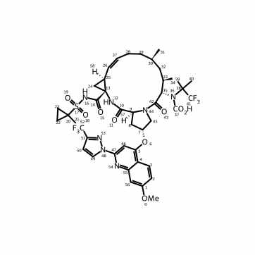 COc1ccc2c(O[C@@H]3C[C@H]4C(=O)N[C@]5(C(=O)NS(=O)(=O)C6(C)CC6)C[C@H]5C=CCC[C@@H](C)C[C@@H](C)[C@H](N(C(=O)O)C(C)(C)C(F)(F)F)C(=O)N4C3)cc(-n3ccc(C(F)(F)F)n3)nc2c1